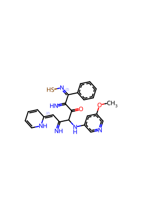 COc1cncc(NC(C(=N)/C=C2/C=CC=CN2)C(=O)C(=N)/C(=N\S)c2ccccc2)c1